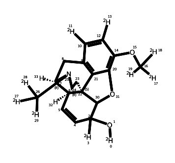 [2H]OC1([2H])C=C[C@H]2[C@H]3Cc4c([2H])c([2H])c(OC([2H])([2H])[2H])c5c4[C@@]2(CCN3C([2H])([2H])[2H])C1O5